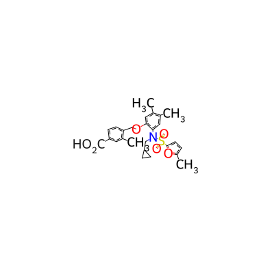 Cc1ccc(S(=O)(=O)N(CC2CC2)c2cc(C)c(C)cc2OCc2ccc(C(=O)O)cc2C)o1